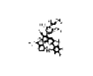 C=CC(=O)N1[C@H](C)CN(c2c(C#N)c(=O)n(C3C(C(C)C)=NC=C[C@H]3C)c3nc(-c4c(F)c(F)c(F)c(F)c4F)c(Cl)cc23)C[C@@H]1C